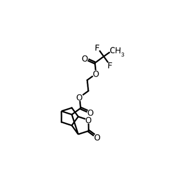 CC(F)(F)C(=O)OCCOC(=O)C1C2CC3OC(=O)C1C3C2